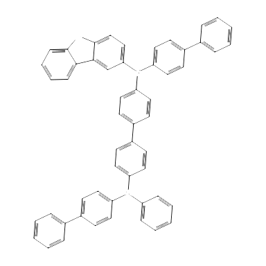 c1ccc(-c2ccc(N(c3ccccc3)c3ccc(-c4ccc(N(c5ccc(-c6ccccc6)cc5)c5ccc6oc7ccccc7c6c5)cc4)cc3)cc2)cc1